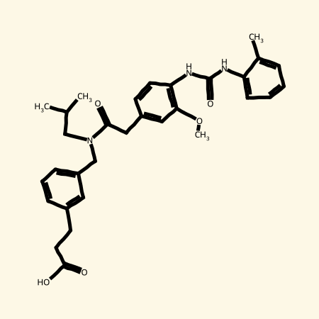 COc1cc(CC(=O)N(Cc2cccc(CCC(=O)O)c2)CC(C)C)ccc1NC(=O)Nc1ccccc1C